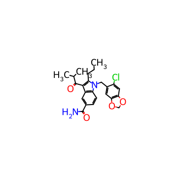 CCCc1c(C(=O)C(C)C)c2cc(C(N)=O)ccc2n1Cc1cc2c(cc1Cl)OCO2